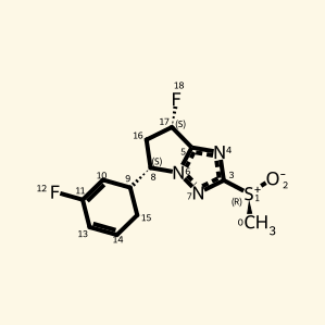 C[S@+]([O-])c1nc2n(n1)[C@H](C1C=C(F)C=CC1)C[C@@H]2F